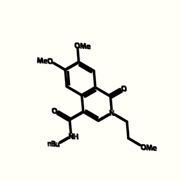 CCCCNC(=O)c1cn(CCOC)c(=O)c2cc(OC)c(OC)cc12